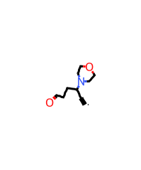 [C]#CC(CCC=O)N1CCOCC1